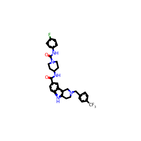 O=C(NC1CCN(C(=O)Nc2ccc(F)cc2)CC1)c1ccc2[nH]c3c(c2c1)CN(Cc1ccc(C(F)(F)F)cc1)CC3